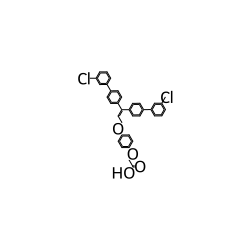 O=C(O)COc1ccc(OCC=C(c2ccc(-c3cccc(Cl)c3)cc2)c2ccc(-c3cccc(Cl)c3)cc2)cc1